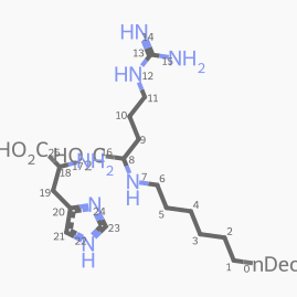 CCCCCCCCCCCCCCCCNC(CCCNC(=N)N)C(=O)O.NC(Cc1c[nH]cn1)C(=O)O